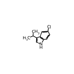 CC(C)c1c[nH]c2ccc(Cl)cc12